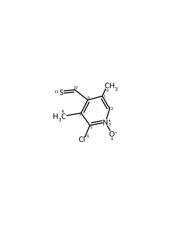 Cc1[c][n+]([O-])c(Cl)c(C)c1C=S